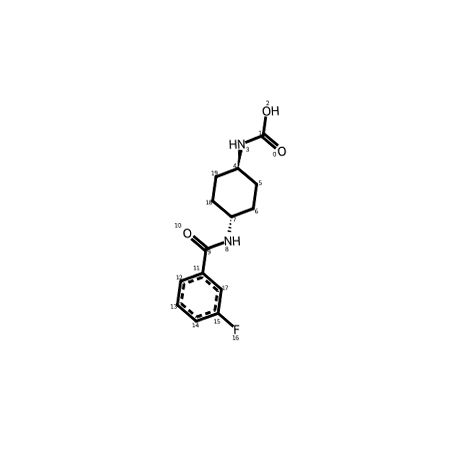 O=C(O)N[C@H]1CC[C@H](NC(=O)c2cccc(F)c2)CC1